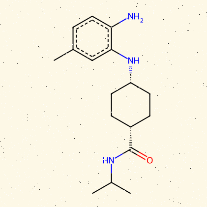 Cc1ccc(N)c(N[C@H]2CC[C@@H](C(=O)NC(C)C)CC2)c1